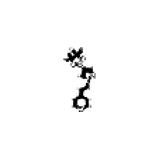 CC1(C)OB(c2cnn(CCC3CCOCC3)c2)OC1(C)C